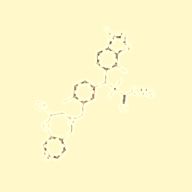 CCC1CN(Cc2cc(C(c3ccc4c(nnn4C)c3C)C(C)(C)C(=O)OC)ccc2C)Cc2ccncc2O1